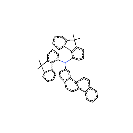 CC1(C)c2ccccc2-c2c(N(c3ccc4ccc5c6ccccc6ccc5c4c3)c3cccc4c3-c3ccccc3C4(C)C)cccc21